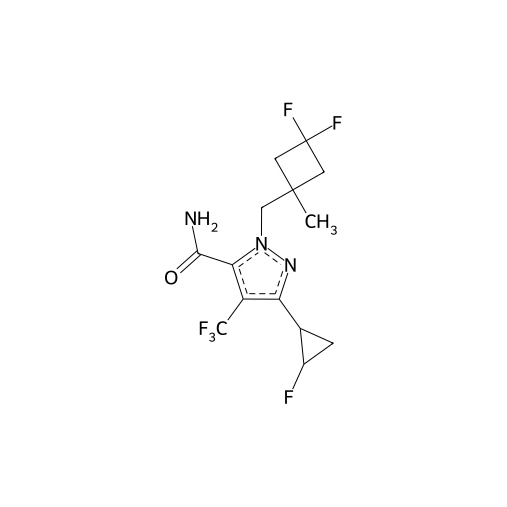 CC1(Cn2nc(C3CC3F)c(C(F)(F)F)c2C(N)=O)CC(F)(F)C1